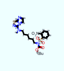 CN(CCCCCCN(C(=O)OC(C)(C)C)S(=O)(=O)c1ccccc1[N+](=O)[O-])c1nsc2nccn12